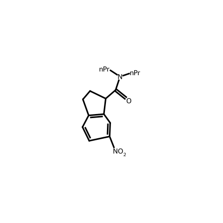 CCCN(CCC)C(=O)C1CCc2ccc([N+](=O)[O-])cc21